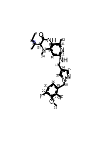 C/C=C(/C)[C@H]1C(=O)Nc2c(cc(NCc3cnn(Cc4ccc(F)c(OC)c4F)c3)nc2C)N1C